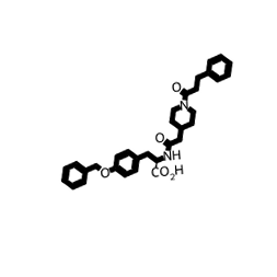 O=C(CC1CCN(C(=O)CCc2ccccc2)CC1)N[C@@H](Cc1ccc(OCc2ccccc2)cc1)C(=O)O